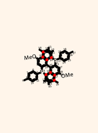 COc1cc(P(c2ccc(C)cc2)c2ccc(C)cc2)c(-c2c(P(c3ccc(C)cc3)c3ccc(C)cc3)cc(OC)c3c2OC(C)(C)O3)c2c1OC(C)(C)O2